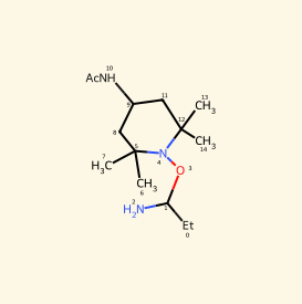 CCC(N)ON1C(C)(C)CC(NC(C)=O)CC1(C)C